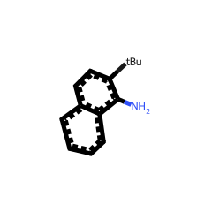 CC(C)(C)c1ccc2ccccc2c1N